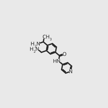 CC(N)c1ccc(C(=O)Nc2ccncc2)cc1CN